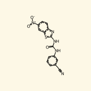 N#Cc1cccc(NC(=O)Nc2nc3ccc([N+](=O)[O-])cc3s2)c1